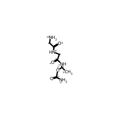 CC(NC(=O)CNC(=O)CN)OC(N)=O